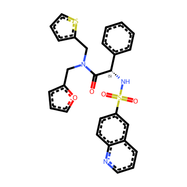 O=C([C@@H](NS(=O)(=O)c1ccc2ncccc2c1)c1ccccc1)N(Cc1ccco1)Cc1cccs1